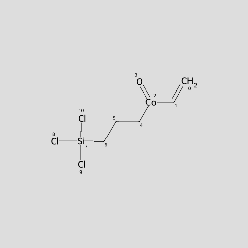 C=[CH][Co](=[O])[CH2]CC[Si](Cl)(Cl)Cl